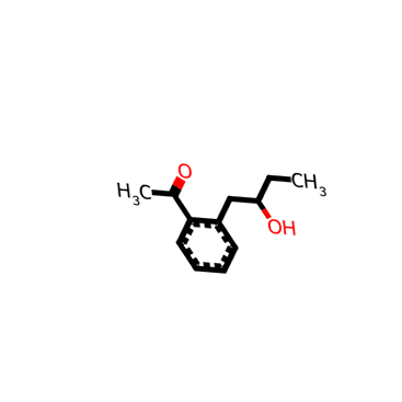 CCC(O)Cc1ccccc1C(C)=O